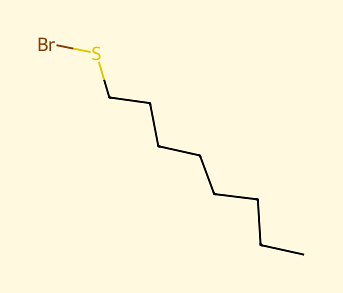 CCCCCCCCSBr